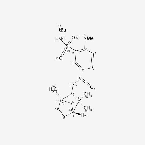 CNc1ccc(C(=O)NC2C(C)(C)[C@@H]3CC[C@]2(C)C3)cc1S(=O)(=O)NC(C)(C)C